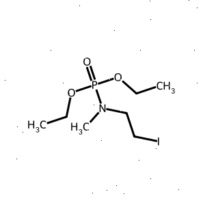 CCOP(=O)(OCC)N(C)CCI